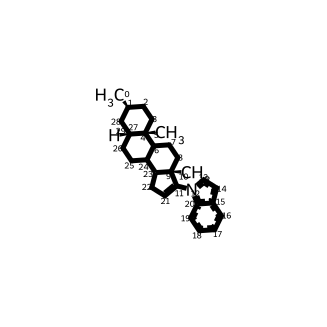 C[C@H]1CC[C@]2(C)C3CC[C@]4(C)C(n5ccc6ccccc65)=CCC4C3CC[C@@H]2C1